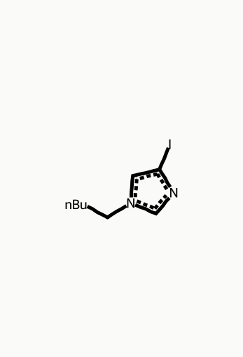 CCCCCn1cnc(I)c1